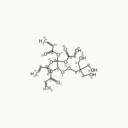 C=CC(=O)OC(OOCC(CO)(CO)CO)C(OC(=O)C=C)(OC(=O)C=C)OC(=O)C=C